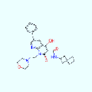 O=C(NC1CC2(CCC2)C1)c1c(O)c2cc(-c3ccccc3)cnc2n(CCN2CCOCC2)c1=O